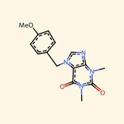 COc1ccc(Cn2cnc3c2c(=O)n(C)c(=O)n3C)cc1